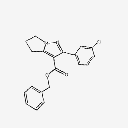 O=C(OCc1ccccc1)c1c(-c2cccc(Cl)c2)nn2c1CCC2